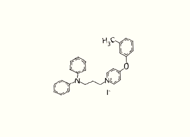 Cc1cccc(Oc2cc[n+](CCCN(c3ccccc3)c3ccccc3)cc2)c1.[I-]